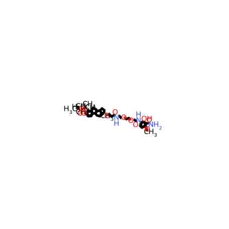 COc1ccc(NC(=O)COCCOCCNC(=O)CCOC2CCC3C4CCc5cc(OP(=O)(OC(C)(C)C)OC(C)(C)C)ccc5C4CCC23C)c(O)c1C(N)=O